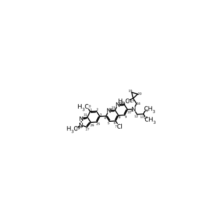 Cc1cc(-c2cc(Cl)c3cc(N(CC(C)C)CC4(C)CC4)cnc3n2)cc2cn(C)nc12